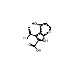 O=C(O)c1[nH]c2nccc(O)c2c1C(=O)O